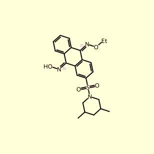 CCO/N=C1/c2ccccc2/C(=N\O)c2cc(S(=O)(=O)N3CC(C)CC(C)C3)ccc21